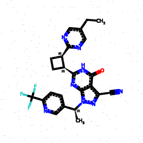 CCc1cnc([C@@H]2CC[C@H]2c2nc3c(c(C#N)nn3[C@H](C)c3ccc(C(F)(F)F)nc3)c(=O)[nH]2)nc1